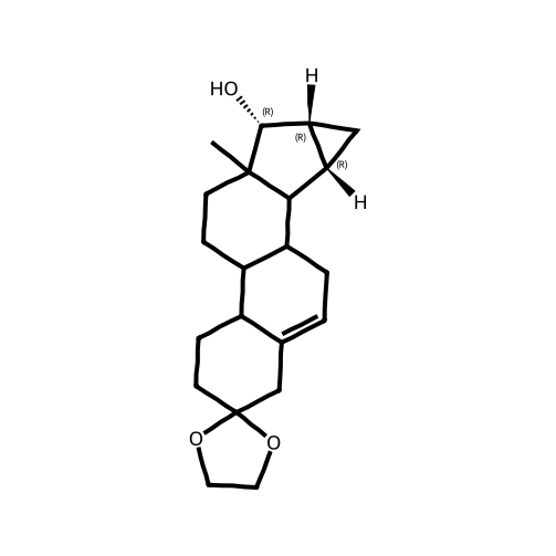 CC12CCC3C4CCC5(CC4=CCC3C1[C@H]1C[C@H]1[C@H]2O)OCCO5